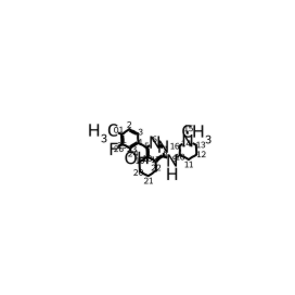 Cc1ccc(-c2nnc(N[C@@H]3CCCN(C)C3)c3c2CCCC3)c(O)c1F